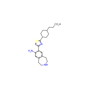 Nc1cc2c(cc1-c1csc(C3CCC(CCC(=O)O)CC3)n1)CCNCC2